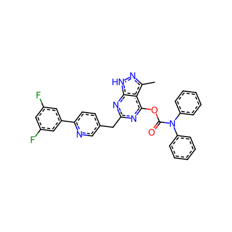 Cc1n[nH]c2nc(Cc3ccc(-c4cc(F)cc(F)c4)nc3)nc(OC(=O)N(c3ccccc3)c3ccccc3)c12